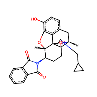 O=C1c2ccccc2C(=O)N1[C@@H]1CCC2(O)[C@H]3Cc4ccc(O)c5c4[C@@]2(CCN3CC2CC2)[C@H]1O5